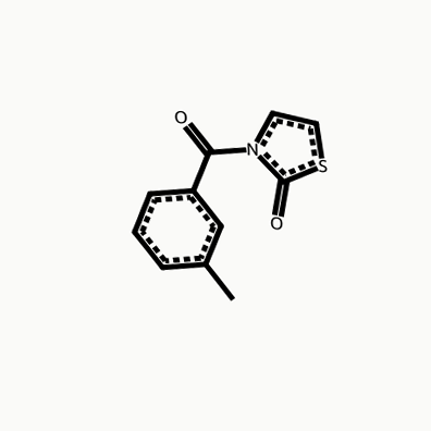 Cc1cccc(C(=O)n2ccsc2=O)c1